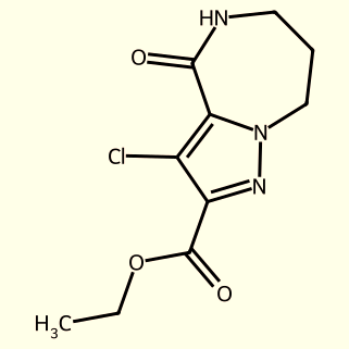 CCOC(=O)c1nn2c(c1Cl)C(=O)NCCC2